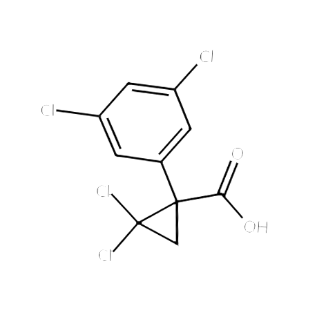 O=C(O)C1(c2cc(Cl)cc(Cl)c2)CC1(Cl)Cl